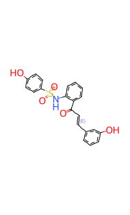 O=C(/C=C/c1cccc(O)c1)c1ccccc1NS(=O)(=O)c1ccc(O)cc1